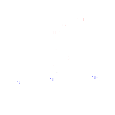 Nc1c(Cl)cc(C(=O)NCCC23CCCN2CCC3)c2c1C=CC(/C(=C/C(=O)O)C(=O)O)O2